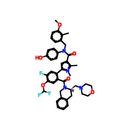 COc1cccc(CN(C(=O)c2cc(-c3cc(F)c(OC(F)F)cc3C(=O)N3Cc4ccccc4C[C@H]3CN3CCOCC3)n(C)c2C)c2ccc(O)cc2)c1C